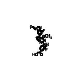 COc1nc(N[C@@H]2CCN(C(=O)CO)CC2(F)F)nn2ccc(-c3cc(F)c4ncn(CCF)c4c3)c12